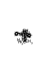 COC(=O)[C@@]1(C(=O)[C@H](CC(=O)OCc2ccccc2)NC(=O)OC(C)(C)C)Cc2ccccc2N1